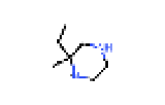 CCC1(C)CNCC[N]1